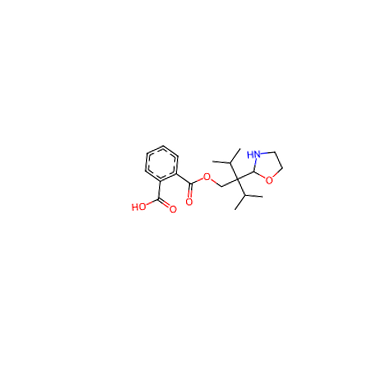 CC(C)C(COC(=O)c1ccccc1C(=O)O)(C(C)C)C1NCCO1